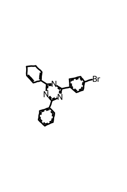 Brc1ccc(-c2nc(C3=CCCC=C3)nc(-c3ccccc3)n2)cc1